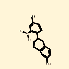 CCN(CC)c1cc(O)ccc1C1CCc2cc(O)ccc2C1